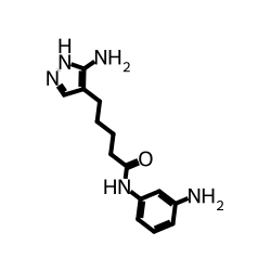 Nc1cccc(NC(=O)CCCCc2cn[nH]c2N)c1